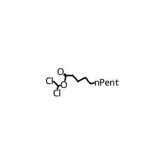 CCCCCCCCCC(=O)OC(Cl)Cl